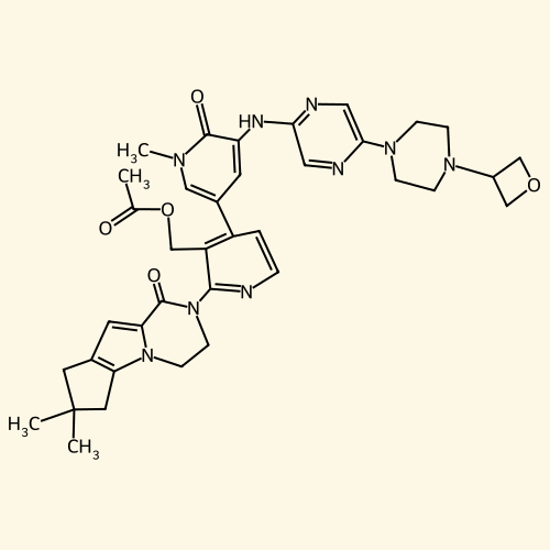 CC(=O)OCc1c(-c2cc(Nc3cnc(N4CCN(C5COC5)CC4)cn3)c(=O)n(C)c2)ccnc1N1CCn2c(cc3c2CC(C)(C)C3)C1=O